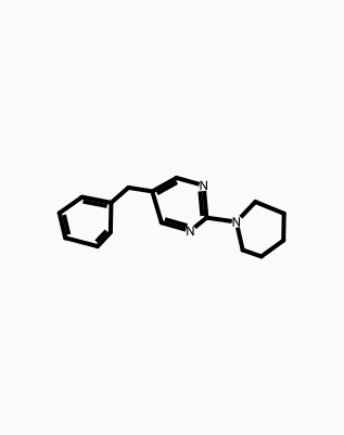 c1ccc(Cc2cnc(N3CCCCC3)nc2)cc1